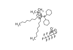 CCCCCCCCN(CCCCCCCC)C(=C[N+](C)(C)C)P(C1CCCCC1)C1CCCCC1.O=S(=O)([O-])C(F)(F)C(F)(F)C(F)(F)C(F)(F)F